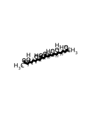 CC(O)CC(O)CCCC(O)CC(O)CC(O)CCCC(O)CC(O)CCC[C@H](C)O